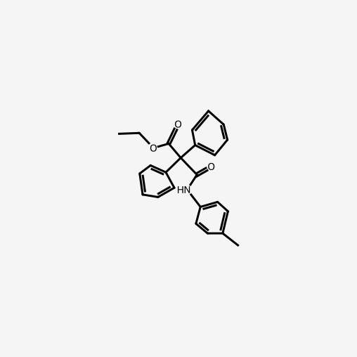 CCOC(=O)C(C(=O)Nc1ccc(C)cc1)(c1ccccc1)c1ccccc1